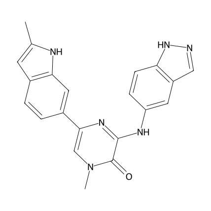 Cc1cc2ccc(-c3cn(C)c(=O)c(Nc4ccc5[nH]ncc5c4)n3)cc2[nH]1